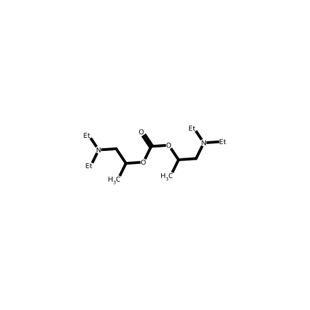 CCN(CC)CC(C)OC(=O)OC(C)CN(CC)CC